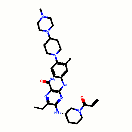 C=CC(=O)N1CCC[C@H](Nc2nc(Nc3ccc(N4CCC(N5CCN(C)CC5)CC4)c(C)c3)c(C(N)=O)nc2CC)C1